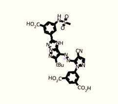 CC(C)(C)c1nn2nc(-c3cc(NS(C)(=O)=O)cc(C(=O)O)c3)[nH]c2c1/N=N/c1c(C#N)cnn1-c1cc(C(=O)O)cc(C(=O)O)c1